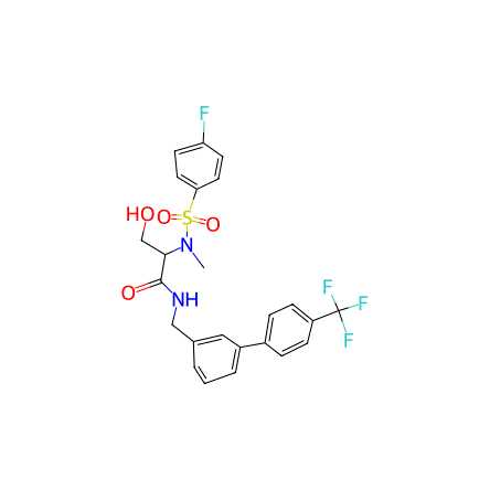 CN(C(CO)C(=O)NCc1cccc(-c2ccc(C(F)(F)F)cc2)c1)S(=O)(=O)c1ccc(F)cc1